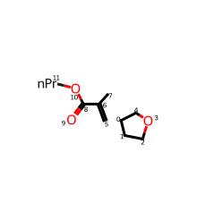 C1CCOC1.C=C(C)C(=O)OCCC